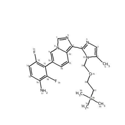 Cc1cnc(-c2ncn3cc(-c4c(F)ccc(N)c4F)ccc23)n1COCC[Si](C)(C)C